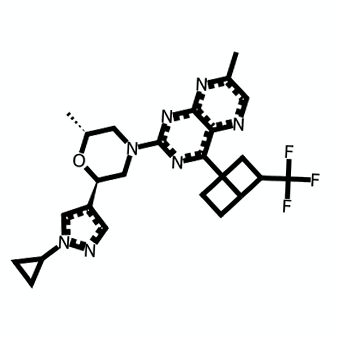 Cc1cnc2c(C34CCC3C(C(F)(F)F)C4)nc(N3C[C@@H](C)O[C@H](c4cnn(C5CC5)c4)C3)nc2n1